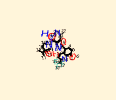 COc1ccc(-c2nc(C(=O)N3CCC(O)(C(C)C)C3)c([C@H](C)N)o2)c2ccc(C(F)(F)F)nc12